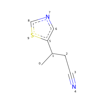 CC(CC#N)c1cncs1